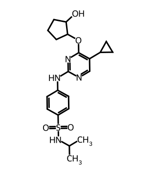 CC(C)NS(=O)(=O)c1ccc(Nc2ncc(C3CC3)c(OC3CCCC3O)n2)cc1